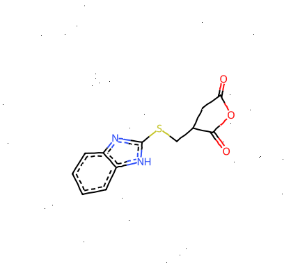 O=C1CC(CSc2nc3ccccc3[nH]2)C(=O)O1